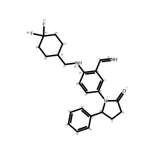 N=Cc1cc(N2C(=O)CCC2c2ccccc2)ccc1NCC1CCC(F)(F)CC1